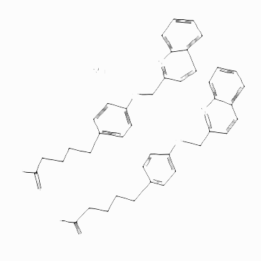 O=C([O-])CCCCc1ccc(OCc2ccc3ccccc3n2)cc1.O=C([O-])CCCCc1ccc(OCc2ccc3ccccc3n2)cc1.[Mg+2]